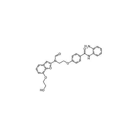 Nc1ccccc1NC(=O)c1ccc(OCCN(C=O)c2cc3cccc(OCCO)c3o2)cc1